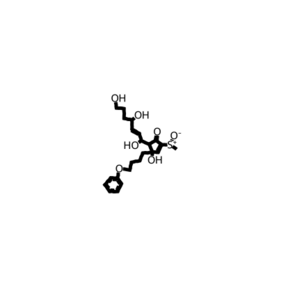 C[S+]([O-])C1=CC(O)(CCCCOc2ccccc2)C(C(O)C=CC(O)CCCO)C1=O